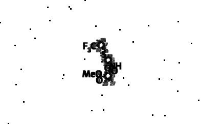 COC(=O)c1cc(S(=O)(=O)Nc2ccc(SCc3cccc(C(F)(F)F)c3)cc2)cc(C)c1C